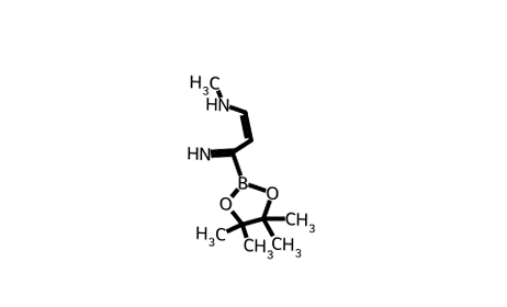 CN/C=C\C(=N)B1OC(C)(C)C(C)(C)O1